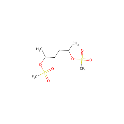 CC(CCC(C)OS(=O)(=O)C(F)(F)F)OS(=O)(=O)C(F)(F)F